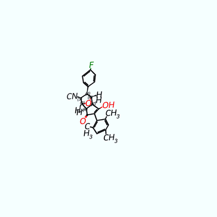 [C-]#[N+][C@@H]1[C@@H]2O[C@@H]([C@H]3C(O)=C(c4c(C)cc(C)cc4C)C(=O)[C@@H]23)[C@@H]1c1ccc(F)cc1